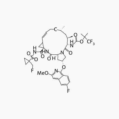 COc1cc2cc(F)ccc2c(O[C@@H]2C[C@H]3C(=O)N[C@]4(C(=O)NS(=O)(=O)C5(CF)CC5)CC4/C=C\CC[C@H](C)C[C@@H](C)[C@H](NC(=O)OC(C)(C)C(F)(F)F)C(=O)N3C2)n1